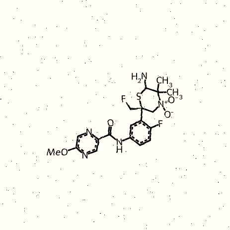 COc1cnc(C(=O)Nc2ccc(F)c([C@@]3(CF)C[N+]([O-])([O-])C(C)(C)C(N)S3)c2)cn1